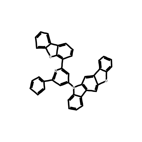 c1ccc(-c2cc(-n3c4ccccc4c4cc5oc6ccccc6c5cc43)cc(-c3cccc4c3oc3ccccc34)n2)cc1